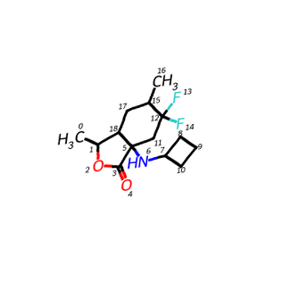 CC1OC(=O)C2(NC3CCC3)CC(F)(F)C(C)CC12